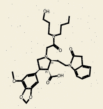 CCCCN(CCCO)C(=O)CN1C[C@H](c2cc(OC)c3c(c2)OCO3)[C@@H](C(=O)O)[C@@H]1CCN1C(=O)Cc2ccccc21